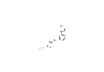 C[C@@]1(c2cc(NC(=O)c3cnc(OCCF)cn3)ccc2F)C=CSC(N)=N1